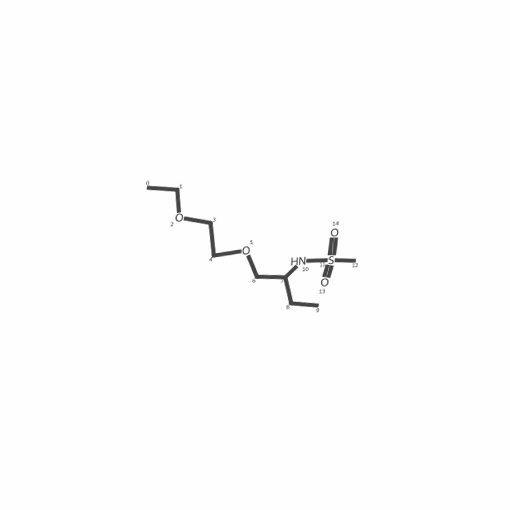 CCOCCOCC(CC)NS(C)(=O)=O